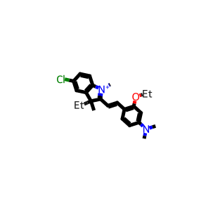 CCOc1cc(N(C)C)ccc1/C=C/C1=[N+](C)c2ccc(Cl)cc2C1(C)CC